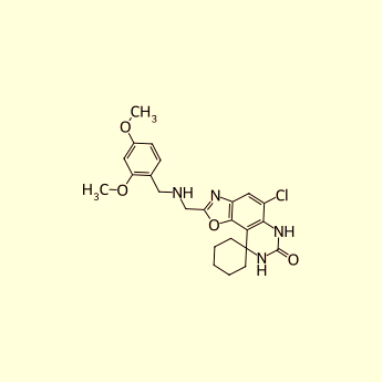 COc1ccc(CNCc2nc3cc(Cl)c4c(c3o2)C2(CCCCC2)NC(=O)N4)c(OC)c1